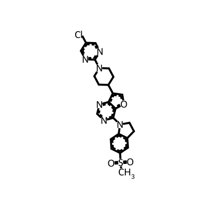 CS(=O)(=O)c1ccc2c(c1)CCN2c1ncnc2c(C3CCN(c4ncc(Cl)cn4)CC3)coc12